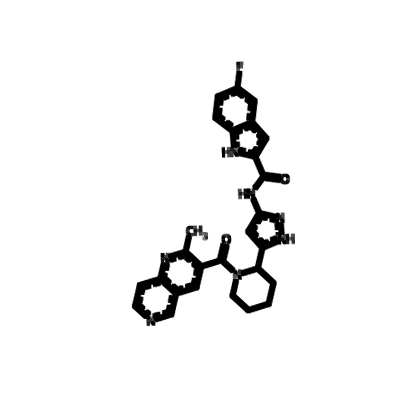 Cc1nc2ccncc2cc1C(=O)N1CCCCC1c1cc(NC(=O)c2cc3cc(F)ccc3[nH]2)n[nH]1